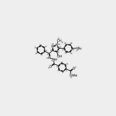 COC(=O)c1ccc(C(=O)NN=C(c2ccccc2)c2nn(C)c(-c3ccc(C(C)(C)C)cc3)c2O)cc1